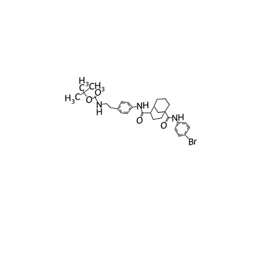 CC(C)(C)OC(=O)NCCc1ccc(NC(=O)C2CCC3(C(=O)Nc4ccc(Br)cc4)CCCC2C3)cc1